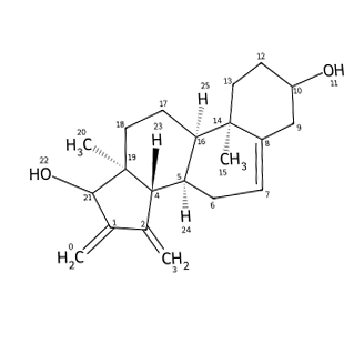 C=C1C(=C)[C@H]2[C@@H]3CC=C4CC(O)CC[C@]4(C)[C@@H]3CC[C@]2(C)C1O